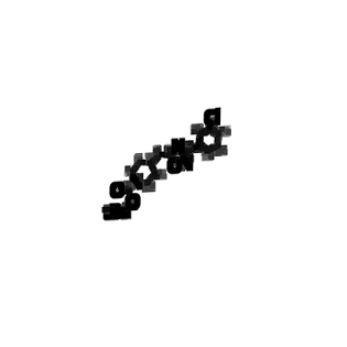 CC(C)(C)OC(=O)N1CCC(=Cc2nc(-c3cccc(Cl)c3)no2)CC1